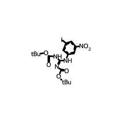 CC(C)(C)OC(=O)/N=C(/NC(=O)OC(C)(C)C)Nc1cc(I)cc([N+](=O)[O-])c1